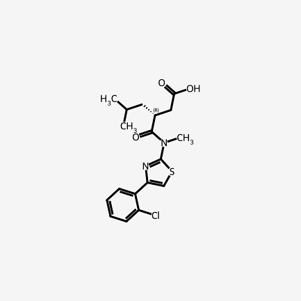 CC(C)C[C@H](CC(=O)O)C(=O)N(C)c1nc(-c2ccccc2Cl)cs1